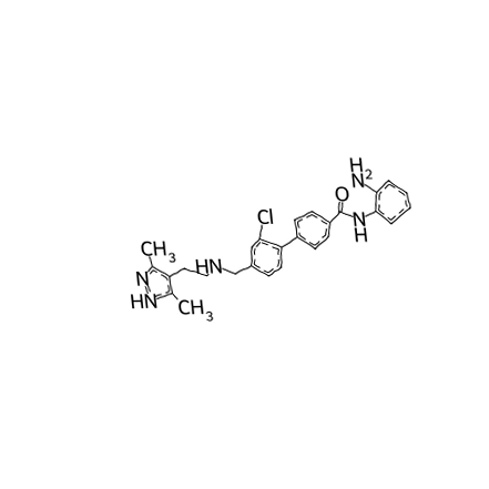 Cc1n[nH]c(C)c1CCNCc1ccc(-c2ccc(C(=O)Nc3ccccc3N)cc2)c(Cl)c1